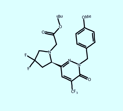 COc1ccc(Cn2nc([C@H]3CC(F)(F)CN3CC(=O)OC(C)(C)C)cc(C(F)(F)F)c2=O)cc1